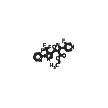 CCOC(=O)c1c(-c2ccncc2F)noc1-c1cnn(-c2ccccn2)c1C(F)(F)F